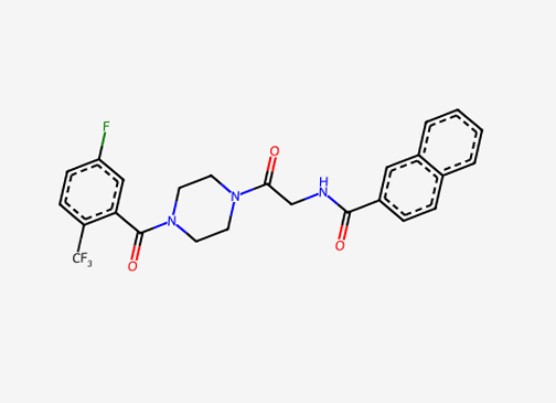 O=C(NCC(=O)N1CCN(C(=O)c2cc(F)ccc2C(F)(F)F)CC1)c1ccc2ccccc2c1